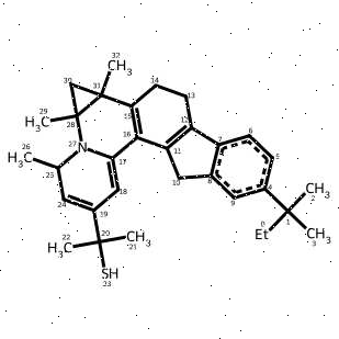 CCC(C)(C)c1ccc2c(c1)CC1=C2CCC2=C1C1=CC(C(C)(C)S)=CC(C)N1C1(C)CC21C